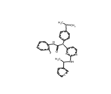 CC(Nc1nccc(N(C(=O)Nc2ccccc2F)c2ccc(N(C)C)cc2)n1)c1ccccc1